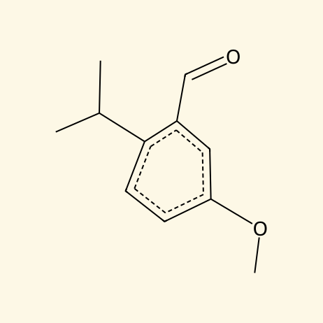 COc1ccc(C(C)C)c(C=O)c1